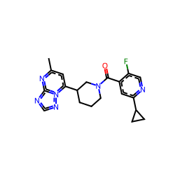 Cc1cc(C2CCCN(C(=O)c3cc(C4CC4)ncc3F)C2)n2ncnc2n1